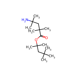 CC(C)(C)CC(C)(C)OC(=O)C(C)(C)CC(C)(C)N